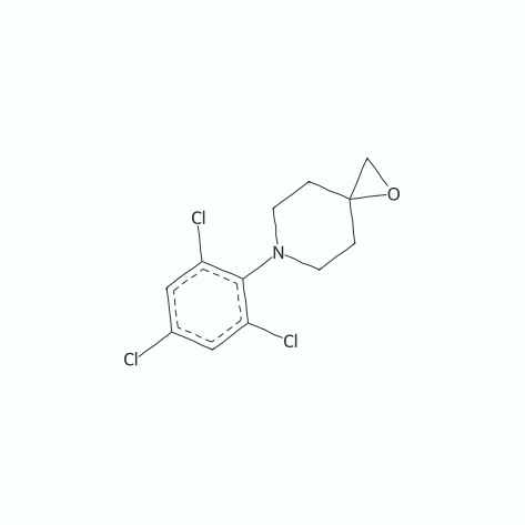 Clc1cc(Cl)c(N2CCC3(CC2)CO3)c(Cl)c1